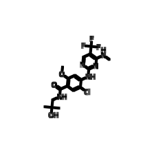 CNc1nc(Nc2cc(OC)c(C(=O)NCC(C)(C)O)cc2Cl)ncc1C(F)(F)F